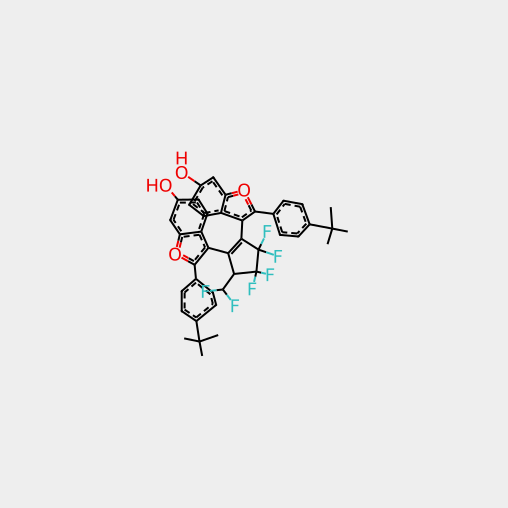 CC(C)(C)c1ccc(-c2oc3cc(O)ccc3c2C2=C(c3c(-c4ccc(C(C)(C)C)cc4)oc4cc(O)ccc34)C(F)(F)C(F)(F)C2C(F)F)cc1